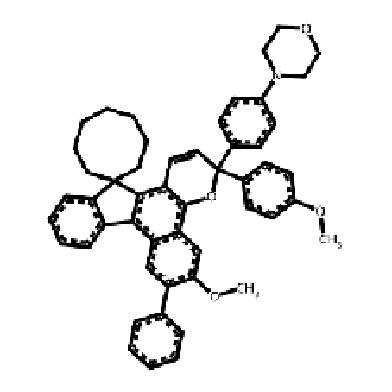 COc1ccc(C2(c3ccc(N4CCOCC4)cc3)C=Cc3c4c(c5cc(-c6ccccc6)c(OC)cc5c3O2)-c2ccccc2C42CCCCCCC2)cc1